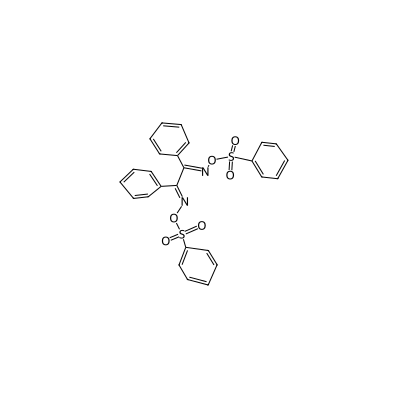 O=S(=O)(O/N=C(/C(=N/OS(=O)(=O)c1ccccc1)c1ccccc1)c1ccccc1)c1ccccc1